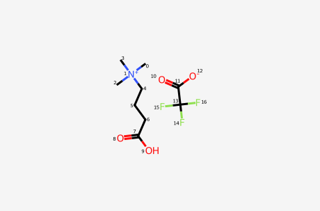 C[N+](C)(C)CCCC(=O)O.O=C([O-])C(F)(F)F